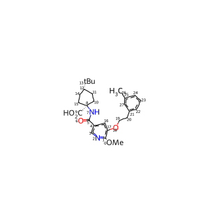 COc1ncc(C(=O)N[C@]2(C(=O)O)CC[C@@H](C(C)(C)C)CC2)cc1OCCc1cccc(C)c1